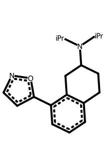 CC(C)N(C(C)C)C1CCc2cccc(-c3ccno3)c2C1